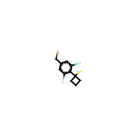 Fc1cc(CBr)cc(F)c1C1(S)CCC1